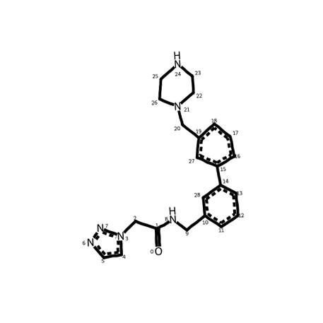 O=C(Cn1ccnn1)NCc1cccc(-c2cccc(CN3CCNCC3)c2)c1